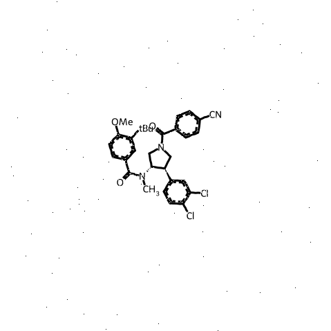 COc1ccc(C(=O)N(C)[C@@H]2CN(C(=O)c3ccc(C#N)cc3)C[C@H]2c2ccc(Cl)c(Cl)c2)cc1C(C)(C)C